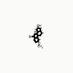 COc1ccc2c(Br)cc3c(c2c1)CCC1C[C@@H](O)C[C@H]31